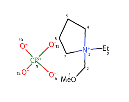 CC[N+]1(COC)CCCC1.[O-][Cl+3]([O-])([O-])[O-]